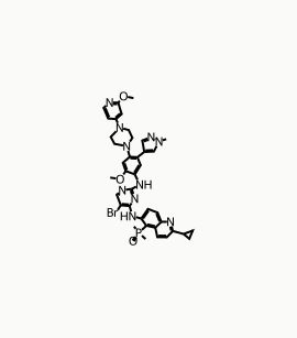 COc1cc(N2CCN(c3cc(OC)c(Nc4ncc(Br)c(Nc5ccc6nc(C7CC7)ccc6c5P(C)(C)=O)n4)cc3-c3cnn(C)c3)CC2)ccn1